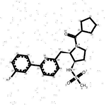 CS(=O)(=O)N[C@@H]1CCN(C(=O)C2CCCC2)[C@@H]1Cc1cccc(-c2cccc(F)c2)n1